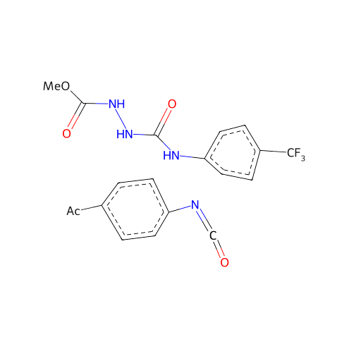 CC(=O)c1ccc(N=C=O)cc1.COC(=O)NNC(=O)Nc1ccc(C(F)(F)F)cc1